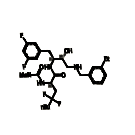 CCCCC(F)(F)C[C@@H](NC(=O)NC)C(=O)N[C@@H](Cc1cc(F)cc(F)c1)[C@H](O)CNCc1cccc(CC)c1